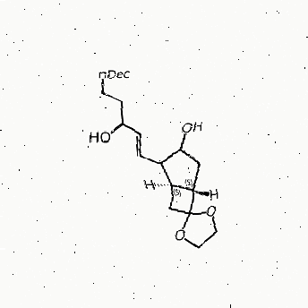 CCCCCCCCCCCCC(O)C=CC1C(O)C[C@H]2[C@H]1CC21OCCO1